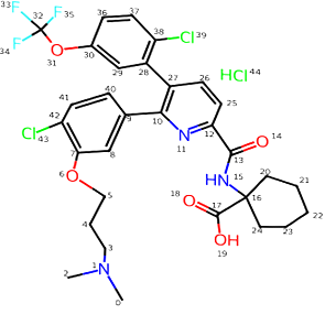 CN(C)CCCOc1cc(-c2nc(C(=O)NC3(C(=O)O)CCCCC3)ccc2-c2cc(OC(F)(F)F)ccc2Cl)ccc1Cl.Cl